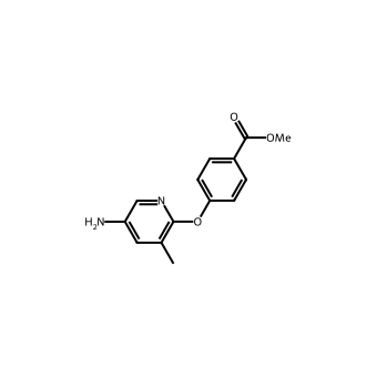 COC(=O)c1ccc(Oc2ncc(N)cc2C)cc1